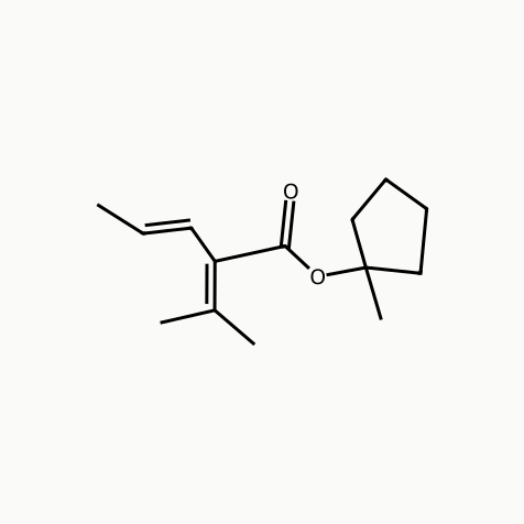 CC=CC(C(=O)OC1(C)CCCC1)=C(C)C